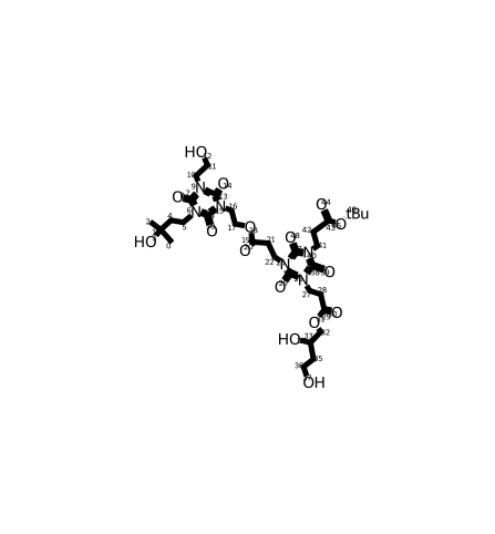 CC(C)(O)CCn1c(=O)n(CCO)c(=O)n(CCOC(=O)CCn2c(=O)n(CCC(=O)OCC(O)CCO)c(=O)n(CCC(=O)OC(C)(C)C)c2=O)c1=O